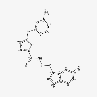 Nc1cccc(Cc2cc(C(=O)NCCc3c[nH]c4ccc(Cl)cc34)no2)c1